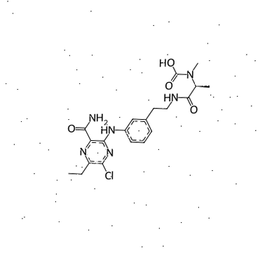 CCc1nc(C(N)=O)c(Nc2cccc(CCNC(=O)[C@H](C)N(C)C(=O)O)c2)nc1Cl